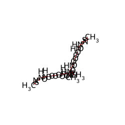 CCN1OC(C(CCCCNC(=O)CCOCCOCCOCCOCCNC(=O)CCNc2ccc(-c3nc4ccc(C)cc4s3)cc2)NC(C)=O)NC(CCCCNC(=O)CCOCCOCCOCCOCCNC(=O)CCNc2ccc(-c3nc4ccc(C)cc4s3)cc2)C1=O